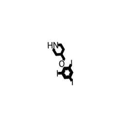 Ic1cc(I)c(OCC2CCNCC2)c(I)c1